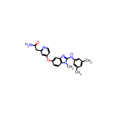 Cc1cc(C)cc(Nc2nc3cc(Oc4ccnc(CC(N)=O)c4)ccc3n2C)c1